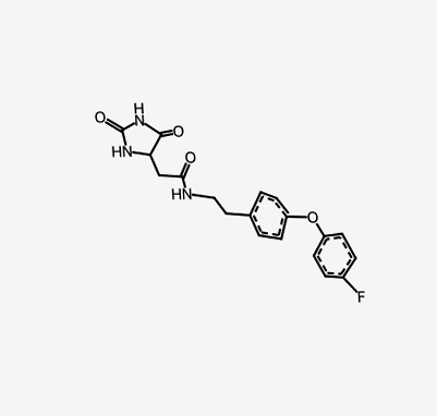 O=C(CC1NC(=O)NC1=O)NCCc1ccc(Oc2ccc(F)cc2)cc1